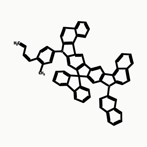 C=C/C=C\c1ccc(-n2c3cc4c(cc3c3c5ccccc5ccc32)-c2cc3c5c6ccccc6ccc5n(-c5ccc6ccccc6c5)c3cc2C42c3ccccc3-c3ccccc32)cc1C